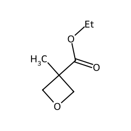 CCOC(=O)C1(C)COC1